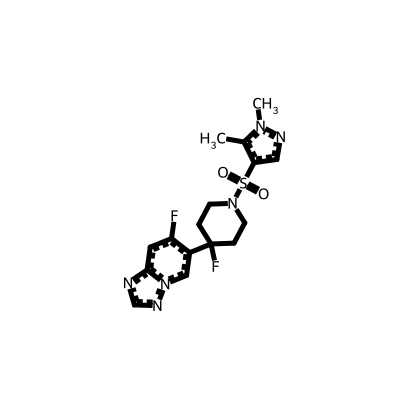 Cc1c(S(=O)(=O)N2CCC(F)(c3cn4ncnc4cc3F)CC2)cnn1C